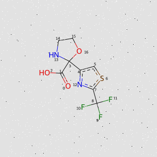 O=C(O)C1(c2csc(C(F)(F)F)n2)NCCO1